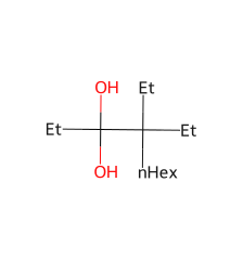 CCCCCCC(CC)(CC)C(O)(O)CC